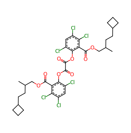 CC(CCC1CCC1)COC(=O)c1c(Cl)c(Cl)cc(Cl)c1OC(=O)C(=O)Oc1c(Cl)cc(Cl)c(Cl)c1C(=O)OCC(C)CCC1CCC1